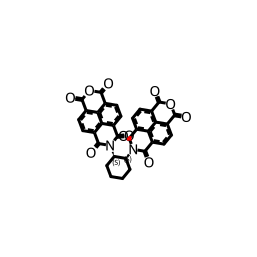 O=C1OC(=O)c2ccc3c4c(ccc1c24)C(=O)N([C@H]1CCCC[C@@H]1N1C(=O)c2ccc4c5c(ccc(c25)C1=O)C(=O)OC4=O)C3=O